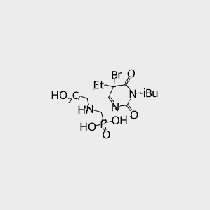 CCC(C)N1C(=O)N=CC(Br)(CC)C1=O.O=C(O)CNCP(=O)(O)O